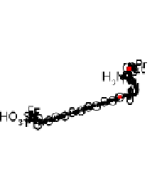 CCCN(OCC)C(=O)C1=Cc2sc(CN3CCCN(C(=O)CCOCCOCCOCCOCCOCCOCCOCCOCCOCCOCCC(=O)Oc4c(F)c(F)c(S(=O)(=O)O)c(F)c4F)CC3)cc2N=C(N)C1